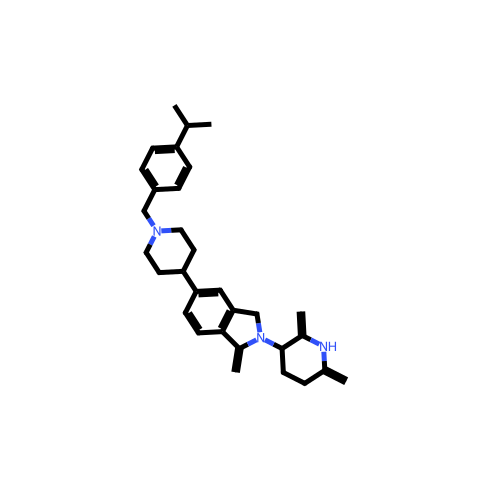 C=C1CCC(N2Cc3cc(C4CCN(Cc5ccc(C(C)C)cc5)CC4)ccc3C2=C)C(=C)N1